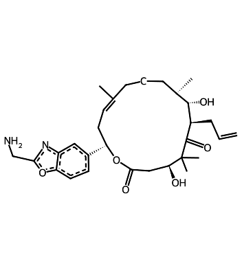 C=CC[C@H]1C(=O)C(C)(C)[C@@H](O)CC(=O)O[C@H](c2ccc3oc(CN)nc3c2)C/C=C(/C)CCC[C@H](C)[C@@H]1O